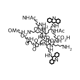 COCCOCCNC(=O)CCN1C(=O)CC(SCC(NC(=O)C(CCCCNc2c3ccccc3nc3ccccc23)NC(=O)C(CCCCN)NC(=O)C(N)CSCNC(C)=O)C(=O)NC(CCCCNc2c3ccccc3nc3ccccc23)C(=O)NC(CCCCN)C(=O)NC(CSCNC(C)=O)C(=O)O)C1=O